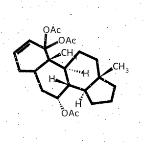 CC(=O)O[C@@H]1CC2CC=CC(OC(C)=O)(OC(C)=O)[C@]2(C)[C@H]2CC[C@]3(C)CCC[C@H]3[C@H]12